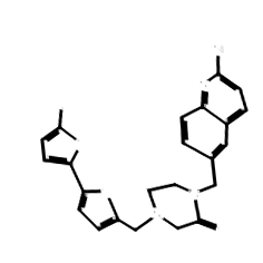 Nc1ccc2cc(CN3CCN(Cc4ccc(-c5ccc(Cl)s5)s4)CC3=O)ccc2n1